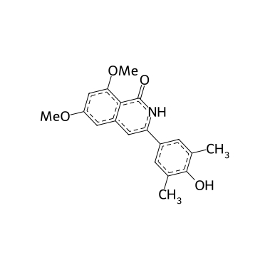 COc1cc(OC)c2c(=O)[nH]c(-c3cc(C)c(O)c(C)c3)cc2c1